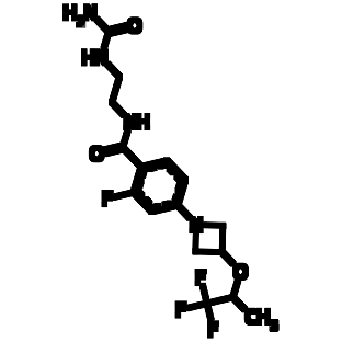 CC(OC1CN(c2ccc(C(=O)NCCNC(N)=O)c(F)c2)C1)C(F)(F)F